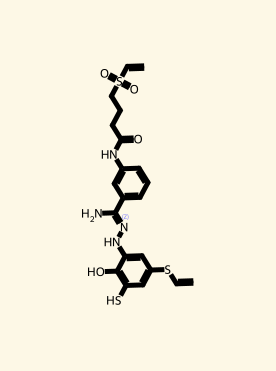 C=CSc1cc(S)c(O)c(N/N=C(\N)c2cccc(NC(=O)CCCS(=O)(=O)C=C)c2)c1